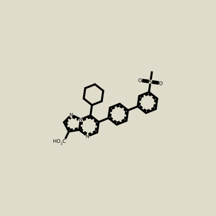 CS(=O)(=O)c1cccc(-c2ccc(-c3cnc4c(C(=O)O)cnn4c3C3CCCCC3)cc2)c1